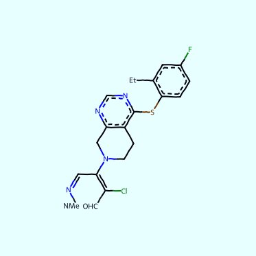 CCc1cc(F)ccc1Sc1ncnc2c1CCN(C(/C=N\NC)=C(\Cl)C=O)C2